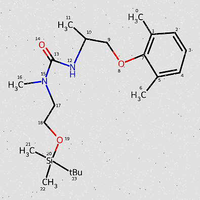 Cc1cccc(C)c1OCC(C)NC(=O)N(C)CCO[Si](C)(C)C(C)(C)C